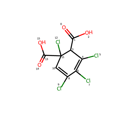 O=C(O)C1C(Cl)=C(Cl)C(Cl)=CC1(Cl)C(=O)O